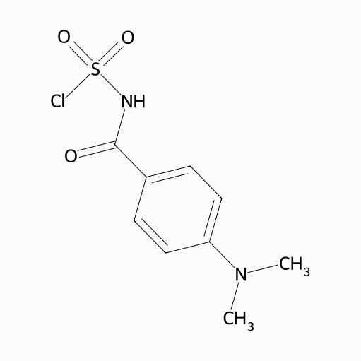 CN(C)c1ccc(C(=O)NS(=O)(=O)Cl)cc1